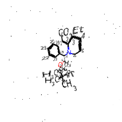 CCOC(=O)CC1CC=CCN1[C@H](CO[Si](C)(C)C(C)(C)C(C)C)c1ccccc1